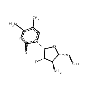 Cc1cn([C@@H]2O[C@H](CO)[C@@H](N)[C@@H]2F)c(=O)nc1N